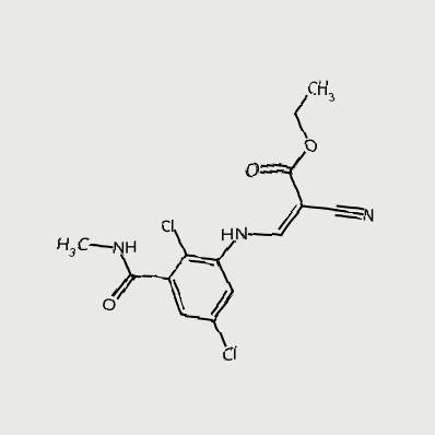 CCOC(=O)C(C#N)=CNc1cc(Cl)cc(C(=O)NC)c1Cl